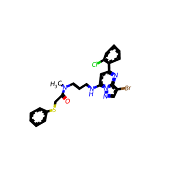 CN(CCCNc1cc(-c2ccccc2Cl)nc2c(Br)cnn12)C(=O)CSc1ccccc1